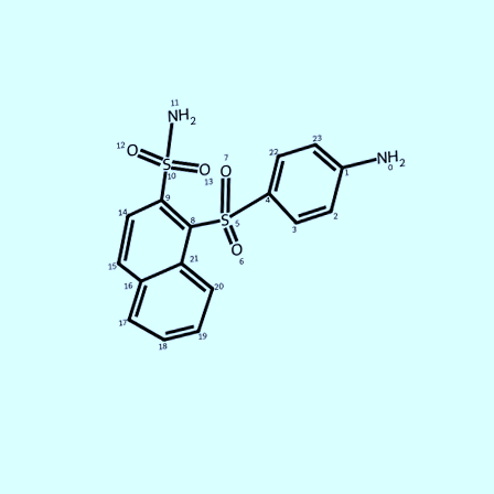 Nc1ccc(S(=O)(=O)c2c(S(N)(=O)=O)ccc3ccccc23)cc1